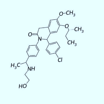 CC[C@@H](C)Oc1cc2c(cc1OC)CC(=O)N(c1ccc(C(C)NCCO)cc1)C2c1ccc(Cl)cc1